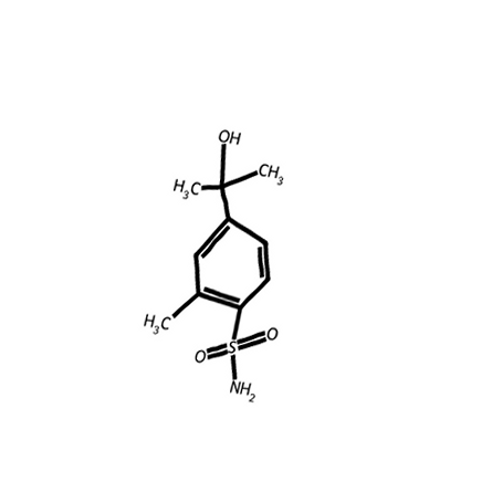 Cc1cc(C(C)(C)O)ccc1S(N)(=O)=O